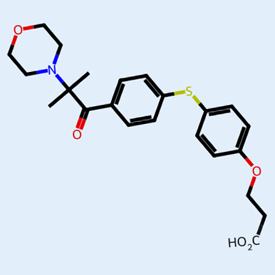 CC(C)(C(=O)c1ccc(Sc2ccc(OCCC(=O)O)cc2)cc1)N1CCOCC1